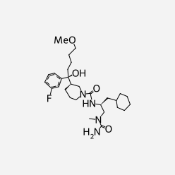 COCCCC[C@@](O)(c1cccc(F)c1)[C@@H]1CCCN(C(=O)N[C@@H](CC2CCCCC2)CN(C)C(N)=O)C1